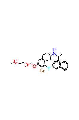 COCCOCOc1cc2c(c(F)c1Br)C[C@H](N[C@@H](C)c1cccc3ccccc13)CC2